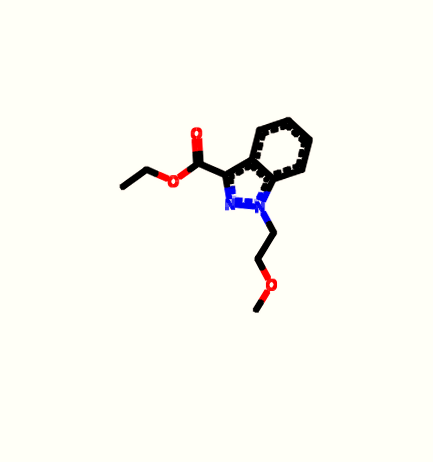 CCOC(=O)c1nn(CCOC)c2ccccc12